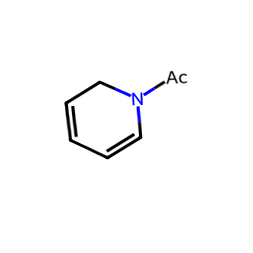 CC(=O)N1C=CC=CC1